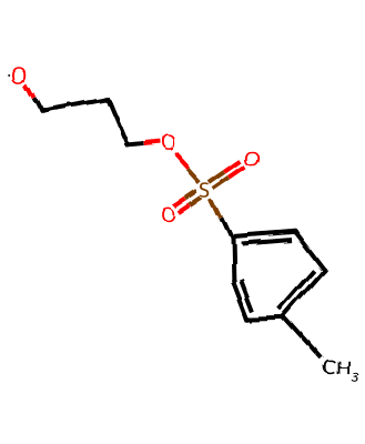 Cc1ccc(S(=O)(=O)OCCC[O])cc1